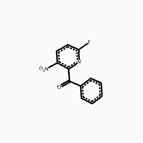 O=C(c1ccccc1)c1nc(F)ccc1[N+](=O)[O-]